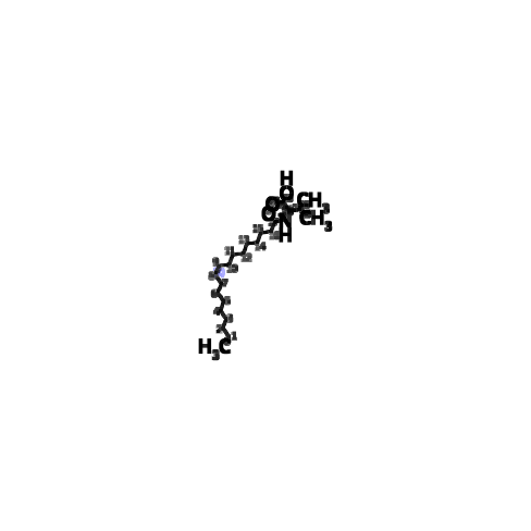 CCCCCCCC/C=C\CCCCCCCC(=O)N[C@@H](C(=O)O)C(C)C